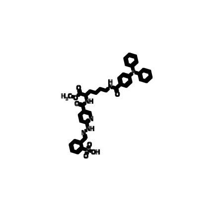 COC(=O)C(CCCCNC(=O)c1ccc(P(c2ccccc2)c2ccccc2)cc1)NC(=O)c1ccc(NN=Cc2ccccc2S(=O)(=O)O)nc1